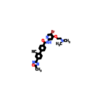 Cc1nc(-c2ccc(-c3ccc(C(=O)Nc4cc(OCCN(C)C)c(Br)cn4)cc3)c(C#N)c2)no1